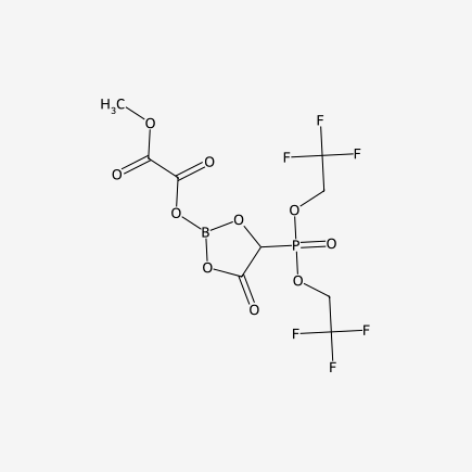 COC(=O)C(=O)OB1OC(=O)C(P(=O)(OCC(F)(F)F)OCC(F)(F)F)O1